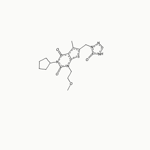 COCCn1c(=O)n(C2CCCC2)c(=O)c2c(C)c(Cn3nc[nH]c3=O)sc21